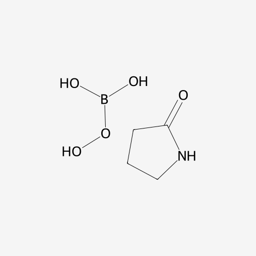 O=C1CCCN1.OOB(O)O